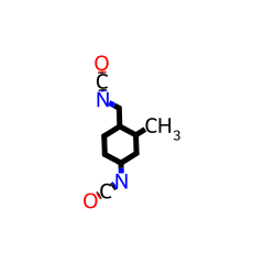 CC1CC(N=C=O)CCC1CN=C=O